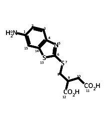 Nc1ccc2nc(SCC(CC(=O)O)C(=O)O)sc2c1